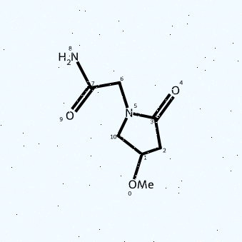 COC1CC(=O)N(CC(N)=O)C1